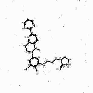 CC1c2cnc(-c3ncccn3)nc2CCN1c1cc(F)c(F)c(OCCCN2CCNC2=O)c1